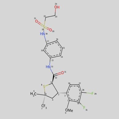 COc1c([C@@H]2C[C@](C)(C(F)(F)F)S[C@H]2C(=O)Nc2cccc(NS(=O)(=O)CCO)c2)ccc(F)c1F